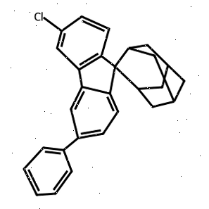 Clc1ccc2c(c1)-c1cc(-c3ccccc3)ccc1C21C2CC3CC(C2)CC1C3